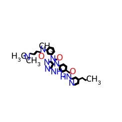 CCCc1ccnc(NC(=O)c2ccc(-n3c(=O)n(-c4cccc(N(C)C(=O)C=CCN(C)C)c4)c4ncnc(N)c43)cc2)c1